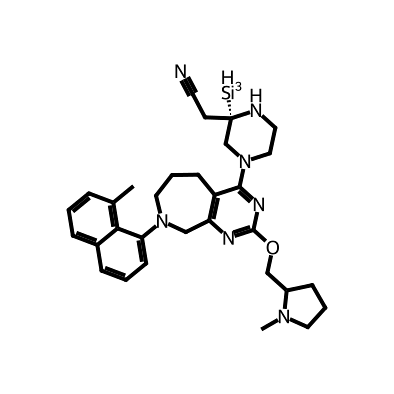 Cc1cccc2cccc(N3CCCc4c(nc(OCC5CCCN5C)nc4N4CCN[C@]([SiH3])(CC#N)C4)C3)c12